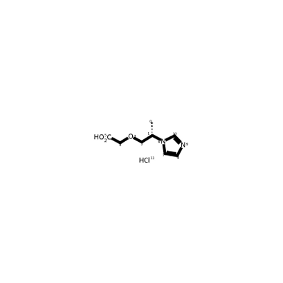 C[C@@H](COCC(=O)O)n1ccnc1.Cl